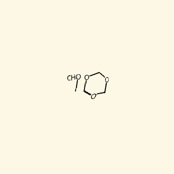 C1OCOCO1.CC=O